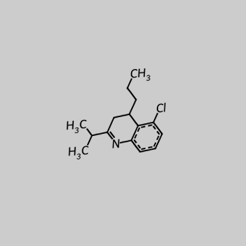 CCCC1CC(C(C)C)=Nc2cccc(Cl)c21